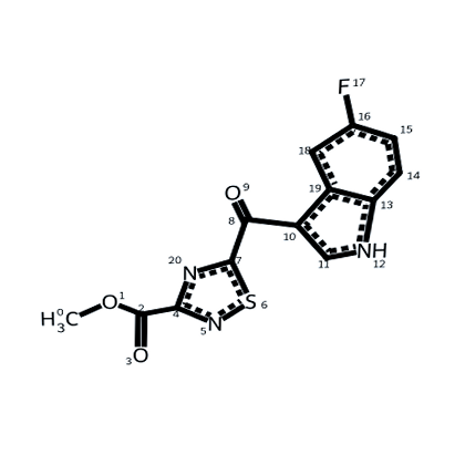 COC(=O)c1nsc(C(=O)c2c[nH]c3ccc(F)cc23)n1